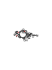 CCn1c(-c2cccnc2[C@H](C)OC)c2c3cc(ccc31)-c1cc(O)cc(c1)C[C@H](NC(=O)[C@H](C(C)C)N(C)C(=O)[C@@]1(O)CCN(C(=O)/C=C/CN(C)C)C1)C(=O)N1CCC[C@@](O)(N1)C(=O)OCC(C)(C)C2